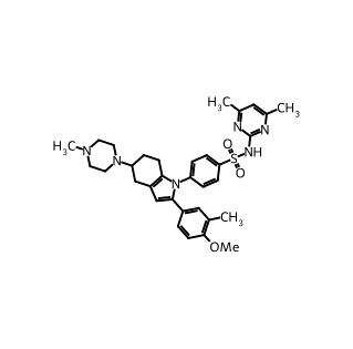 COc1ccc(-c2cc3c(n2-c2ccc(S(=O)(=O)Nc4nc(C)cc(C)n4)cc2)CCC(N2CCN(C)CC2)C3)cc1C